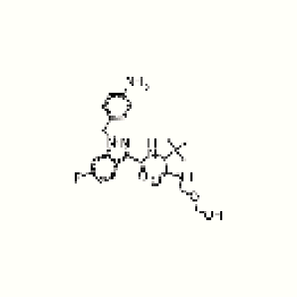 CC(C)(C)C(NC(=O)c1nn(Cc2ccc(N)cc2)c2cc(F)ccc12)C(=O)NCOCO